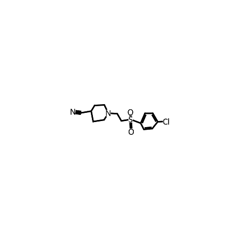 N#CC1CCN(CCS(=O)(=O)c2ccc(Cl)cc2)CC1